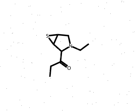 CCC(=O)C1C2SC2CN1CC